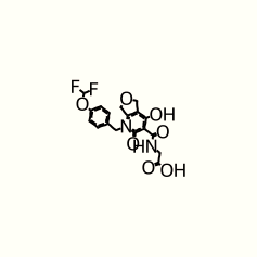 O=C(O)CNC(=O)c1c(O)c2c(n(Cc3ccc(OC(F)F)cc3)c1=O)COC2